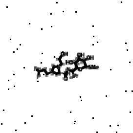 CS[C@H]1O[C@H]([C@H](NC(=O)[C@@H]2C[C@@H](CCC(F)F)CN2CCO)C(C)C)[C@H](O)[C@H](O)[C@H]1O